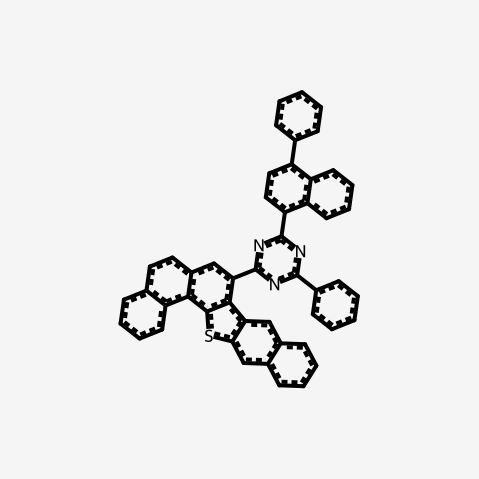 c1ccc(-c2nc(-c3ccc(-c4ccccc4)c4ccccc34)nc(-c3cc4ccc5ccccc5c4c4sc5cc6ccccc6cc5c34)n2)cc1